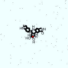 O=C1NCc2cc3c(cc21)[C@H]1[C@H]2C[C@H]([C@H](O)[C@@H]2O)[C@H]1[C@H](c1ccc2[nH]ncc2c1)N3